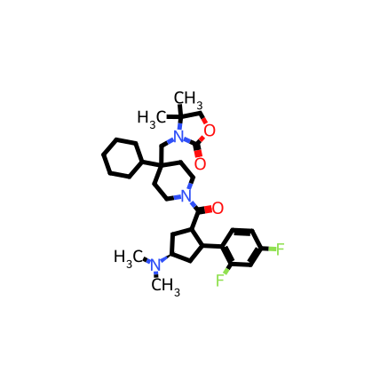 CN(C)[C@H]1CC(C(=O)N2CCC(CN3C(=O)OCC3(C)C)(C3CCCCC3)CC2)C(c2ccc(F)cc2F)C1